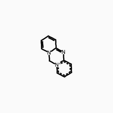 C1=CC2=Nc3cccc[n+]3CN2C=C1